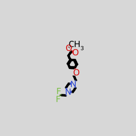 COC(=O)Cc1ccc(OCCN2CCN(CC(F)F)CC2)cc1